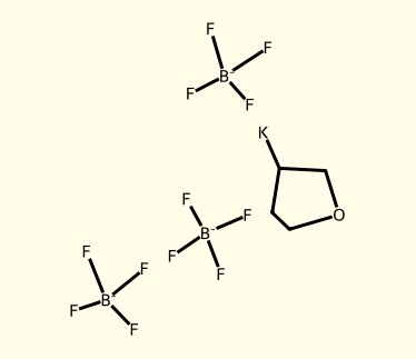 F[B-](F)(F)F.F[B-](F)(F)F.F[B-](F)(F)F.[K][CH]1CCOC1